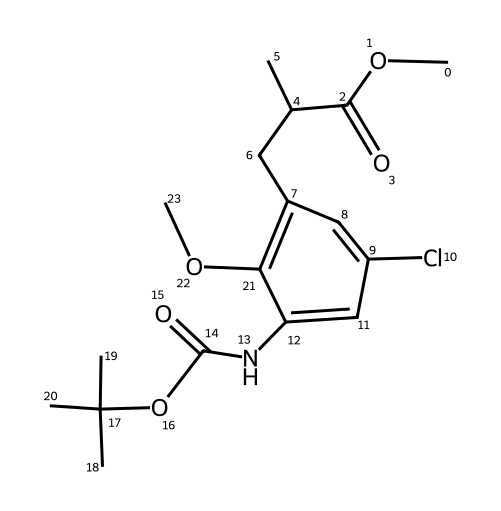 COC(=O)C(C)Cc1cc(Cl)cc(NC(=O)OC(C)(C)C)c1OC